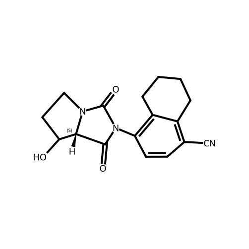 N#Cc1ccc(N2C(=O)[C@@H]3C(O)CCN3C2=O)c2c1CCCC2